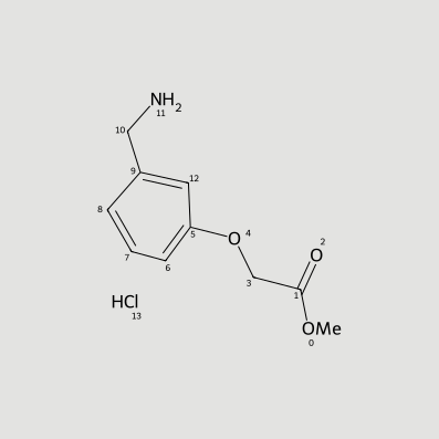 COC(=O)COc1cccc(CN)c1.Cl